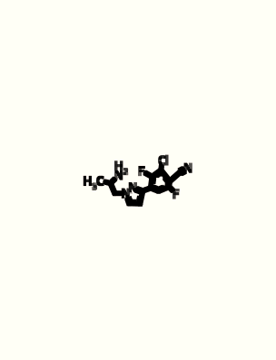 CC(N)Cn1ccc(-c2cc(F)c(C#N)c(Cl)c2F)n1